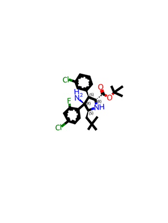 CC(C)(C)C[C@@H]1N[C@@H](C(=O)OC(C)(C)C)[C@H](c2cccc(Cl)c2)[C@@]1(N)c1ccc(Cl)cc1F